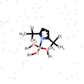 CCC(C)(C)c1ccc(C(C)(C)CC)[n]1[Ti]([O]C(C)C)([O]C(C)C)[O]C(C)C